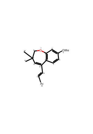 COc1ccc2c(c1)OCC(C)(C)C=C2/C=C/C(C)=O